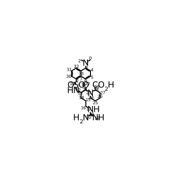 CN(C)c1cccc2c(S(=O)(=O)NC(CCCNC(=N)N)C(=O)N3CCCCC3C(=O)O)cccc12